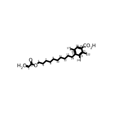 C=CC(=O)OCCCCCCCCCCc1c(I)cc(C(=O)O)c(I)c1I